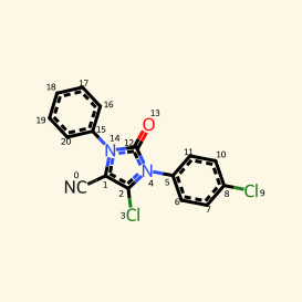 N#Cc1c(Cl)n(-c2ccc(Cl)cc2)c(=O)n1-c1ccccc1